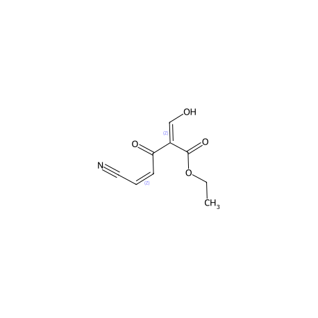 CCOC(=O)/C(=C\O)C(=O)/C=C\C#N